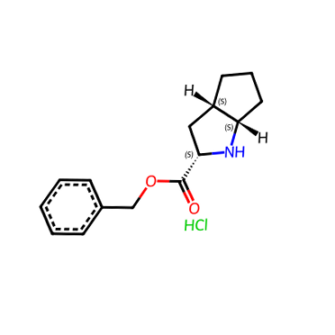 Cl.O=C(OCc1ccccc1)[C@@H]1C[C@@H]2CCC[C@@H]2N1